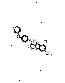 O=C(Nc1ccc(Oc2cccnc2)cc1)c1nc2c(Cl)cc(C(F)(F)F)cc2[nH]1